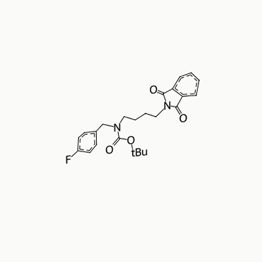 CC(C)(C)OC(=O)N(CCCCN1C(=O)c2ccccc2C1=O)Cc1ccc(F)cc1